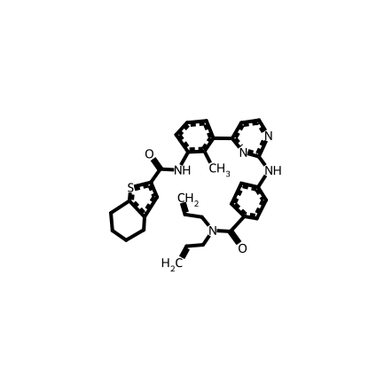 C=CCN(CC=C)C(=O)c1ccc(Nc2nccc(-c3cccc(NC(=O)c4cc5c(s4)CCCC5)c3C)n2)cc1